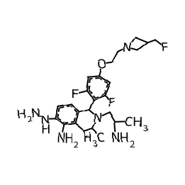 CC(N)CN1C(C)Cc2c(ccc(NN)c2N)C1c1c(F)cc(OCCN2CC(CF)C2)cc1F